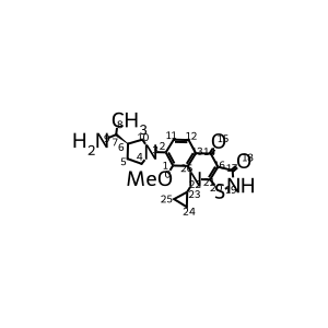 COc1c(N2CC[C@@H](C(C)N)C2)ccc2c(=O)c3c(=O)[nH]sc3n(C3CC3)c12